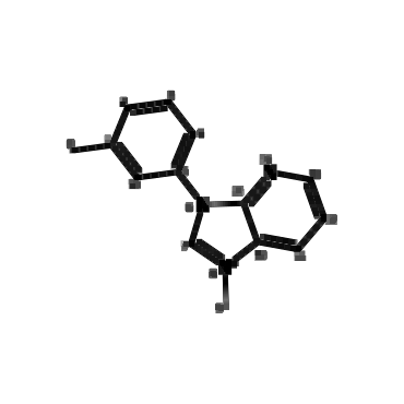 Cc1cccc(-n2c[n+](C)c3cccnc32)c1